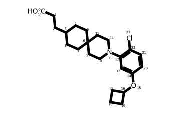 O=C(O)CCC1CCC2(CC1)CCN(c1cc(OC3CCC3)ccc1Cl)CC2